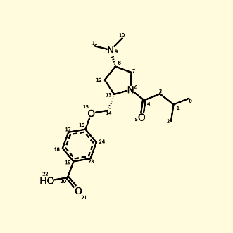 CC(C)CC(=O)N1C[C@@H](N(C)C)C[C@H]1COc1ccc(C(=O)O)cc1